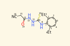 CCc1cccc(CC)c1NC(=S)NNC(=O)CC#N